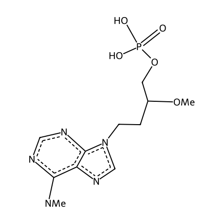 CNc1ncnc2c1ncn2CCC(COP(=O)(O)O)OC